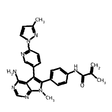 C=C(C)C(=O)Nc1ccc(-c2c(-c3ccc(-n4ccc(C)n4)nc3)c3c(N)ncnc3n2C)cc1